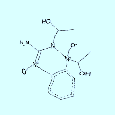 CC(O)N1C(N)=[N+]([O-])c2ccccc2[N+]1([O-])C(C)O